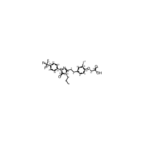 CCCn1c(CCc2ccc(OCC(=O)O)c(I)c2)nn(-c2ccc(C(F)(F)F)cc2)c1=O